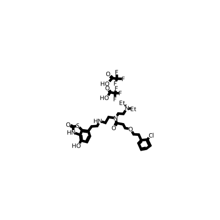 CCN(CC)CCN(CCNCCc1ccc(O)c2[nH]c(=O)sc12)C(=O)CCOCCc1ccccc1Cl.O=C(O)C(F)(F)F.O=C(O)C(F)(F)F